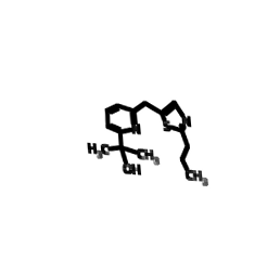 CCCc1ncc(Cc2cccc(C(C)(C)O)n2)s1